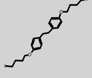 ICCCCOc1ccc(CCc2ccc(OCCCCI)cc2)cc1